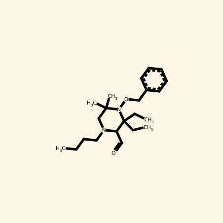 CCCCN1CC(C)(C)N(OCc2ccccc2)C(CC)(CC)C1C=O